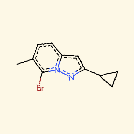 Cc1ccc2cc(C3CC3)nn2c1Br